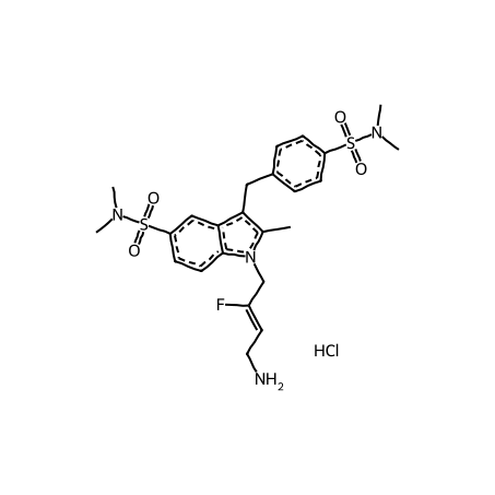 Cc1c(Cc2ccc(S(=O)(=O)N(C)C)cc2)c2cc(S(=O)(=O)N(C)C)ccc2n1CC(F)=CCN.Cl